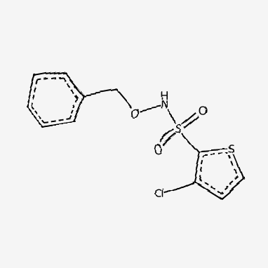 O=S(=O)(NOCc1ccccc1)c1sccc1Cl